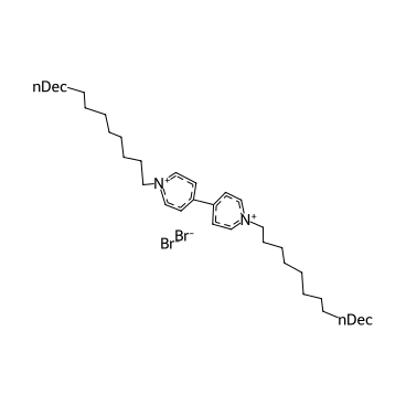 CCCCCCCCCCCCCCCCCC[n+]1ccc(-c2cc[n+](CCCCCCCCCCCCCCCCCC)cc2)cc1.[Br-].[Br-]